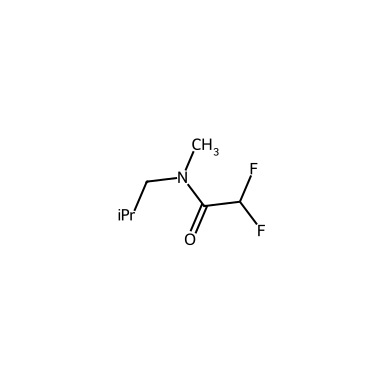 CC(C)CN(C)C(=O)C(F)F